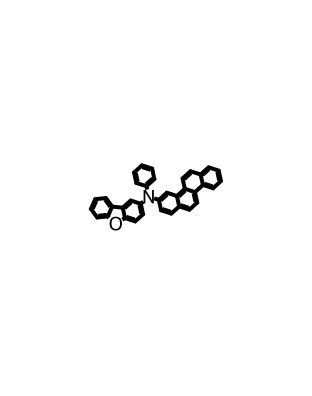 c1ccc(N(c2ccc3ccc4c5ccccc5ccc4c3c2)c2ccc3oc4ccccc4c3c2)cc1